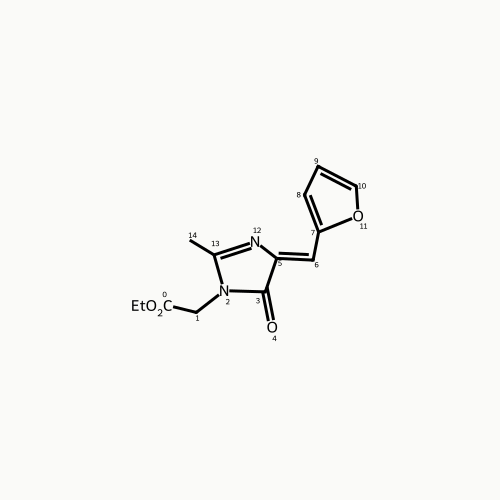 CCOC(=O)CN1C(=O)/C(=C/c2ccco2)N=C1C